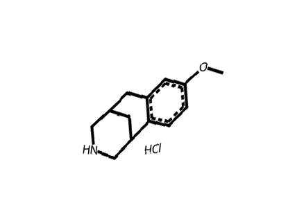 COc1ccc2c(c1)CC1CNCC2C1.Cl